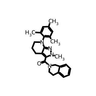 Cc1cc(C)c(N2CCCc3c2nn(C)c3C(=O)N2CCc3ccccc3C2)c(C)c1